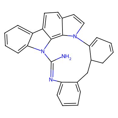 N/C1=N\c2ccccc2CC2CC=CC=C2n2ccc3ccc4c5ccccc5n1c4c32